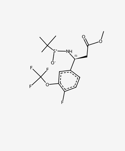 COC(=O)C[C@H](N[S+]([O-])C(C)(C)C)c1ccc(F)c(OC(F)(F)F)c1